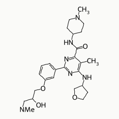 CNCC(O)COc1cccc(-c2nc(NC3CCOC3)c(C)c(C(=O)NC3CCN(C)CC3)n2)c1